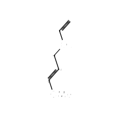 C=COCC=COC